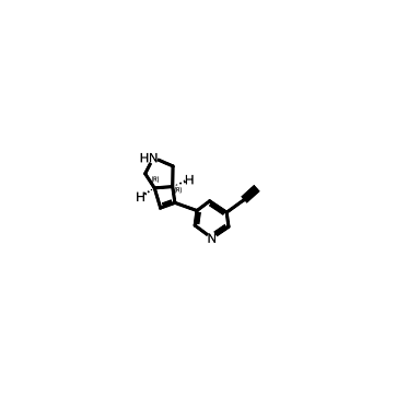 C#Cc1cncc(C2=C[C@H]3CNC[C@@H]23)c1